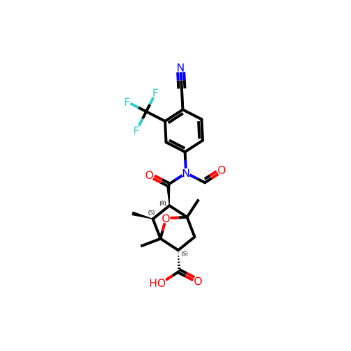 C[C@H]1[C@@H](C(=O)N(C=O)c2ccc(C#N)c(C(F)(F)F)c2)C2(C)C[C@H](C(=O)O)C1(C)O2